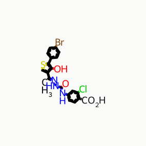 C/C(=N\NC(=O)Nc1ccc(C(=O)O)c(Cl)c1)c1csc(-c2ccc(Br)cc2)c1O